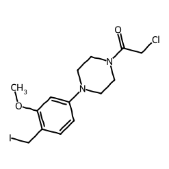 COc1cc(N2CCN(C(=O)CCl)CC2)ccc1CI